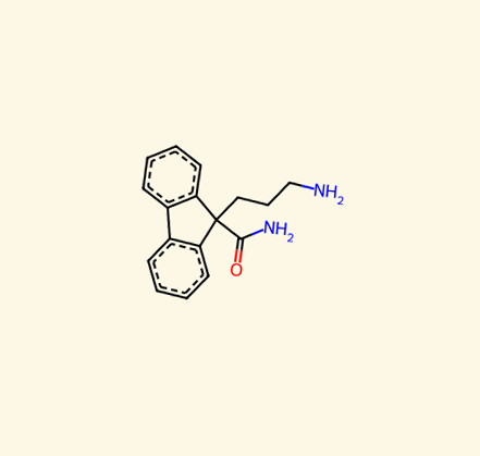 NCCCC1(C(N)=O)c2ccccc2-c2ccccc21